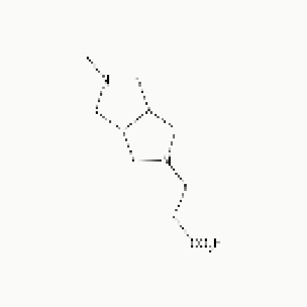 CN1CC2CN(CCC(=O)O)CC2C1